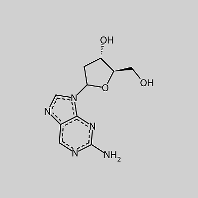 Nc1ncc2ncn(C3C[C@H](O)[C@@H](CO)O3)c2n1